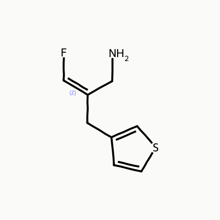 NC/C(=C\F)Cc1ccsc1